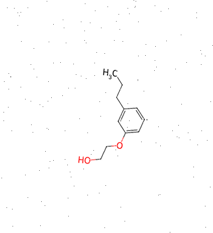 CCCc1c[c]cc(OCCO)c1